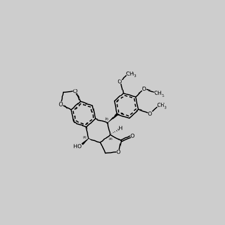 COc1cc([C@@H]2c3cc4c(cc3[C@H](O)C3COC(=O)[C@@H]32)OCO4)cc(OC)c1OC